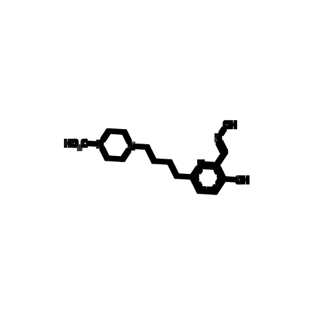 O=C(O)N1CCN(CCCCc2ccc(O)c(C=NO)n2)CC1